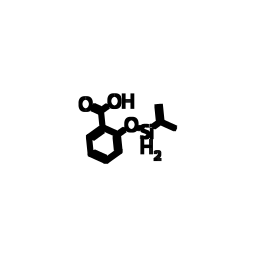 C=C(C)[SiH2]Oc1ccccc1C(=O)O